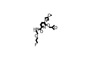 COC1CN(c2ccc(C(=O)N[C@@H](C)COCCCF)nc2OCC2COC2)C1